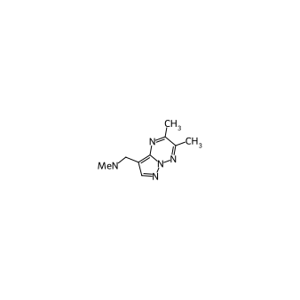 CNCc1cnn2nc(C)c(C)nc12